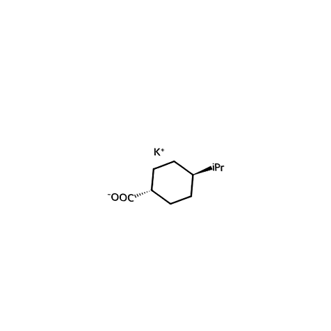 CC(C)[C@H]1CC[C@H](C(=O)[O-])CC1.[K+]